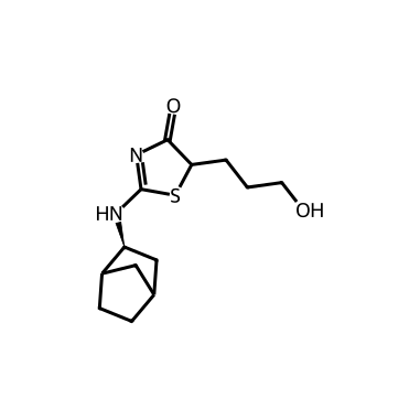 O=C1N=C(N[C@H]2CC3CCC2C3)SC1CCCO